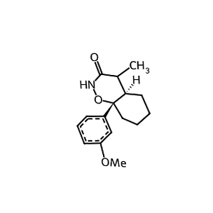 COc1cccc([C@]23CCCC[C@@H]2C(C)C(=O)NO3)c1